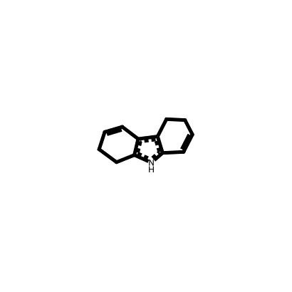 C1=Cc2c([nH]c3c2CCC=C3)CC1